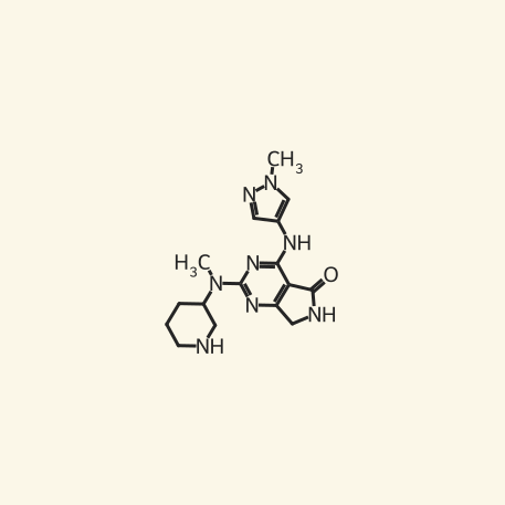 CN(c1nc2c(c(Nc3cnn(C)c3)n1)C(=O)NC2)C1CCCNC1